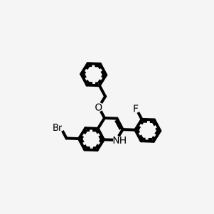 Fc1ccccc1C1=CC(OCc2ccccc2)c2cc(CBr)ccc2N1